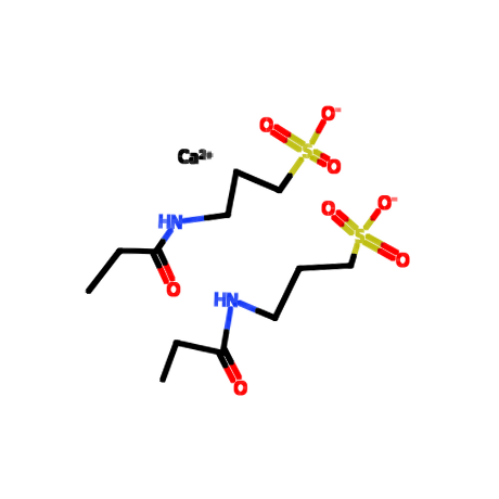 CCC(=O)NCCCS(=O)(=O)[O-].CCC(=O)NCCCS(=O)(=O)[O-].[Ca+2]